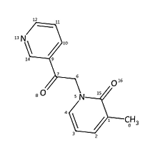 Cc1cccn(CC(=O)c2cccnc2)c1=O